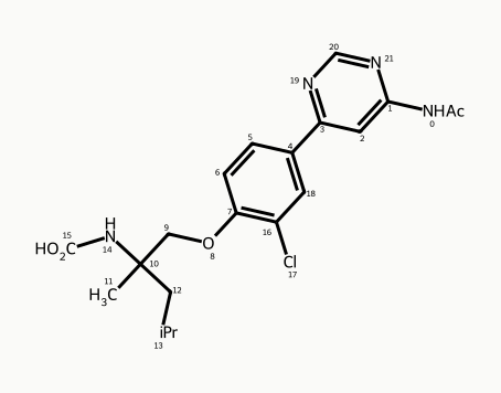 CC(=O)Nc1cc(-c2ccc(OCC(C)(CC(C)C)NC(=O)O)c(Cl)c2)ncn1